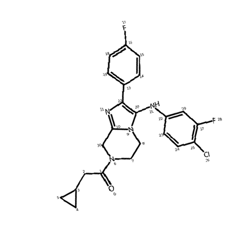 O=C(CC1CC1)N1CCn2c(nc(-c3ccc(F)cc3)c2Nc2ccc(Cl)c(F)c2)C1